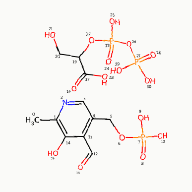 Cc1ncc(COP(=O)(O)O)c(C=O)c1O.O=C(O)C(CO)OP(=O)(O)OP(=O)(O)O